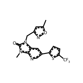 Cc1cc(Cn2c(=O)n(C)c3ncc(-c4ccc(C(F)(F)F)s4)cc32)no1